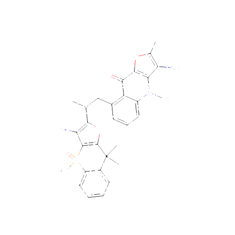 CC(C)c1oc2c(=O)c3c(CC(C)c4oc5c(c4N)P(=O)(C(C)C)c4ccccc4C5(C)C)cccc3n(C(C)C)c2c1N